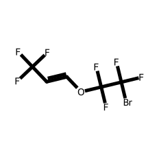 FC(F)(F)C=COC(F)(F)C(F)(F)Br